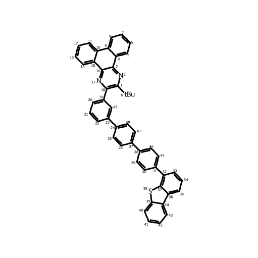 CC(C)(C)c1nc2c3ccccc3c3ccccc3c2nc1-c1cccc(-c2ccc(-c3ccc(-c4cccc5c4sc4ccccc45)cc3)cc2)c1